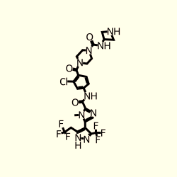 Cn1c(-c2c(C(F)(F)F)n[nH]c2CC(F)(F)F)cnc1C(=O)Nc1ccc(C(=O)N2CCN(C(=O)NC3CNC3)CC2)c(Cl)c1